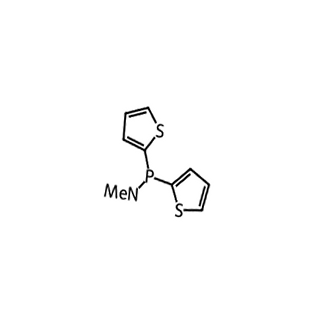 CNP(c1cccs1)c1cccs1